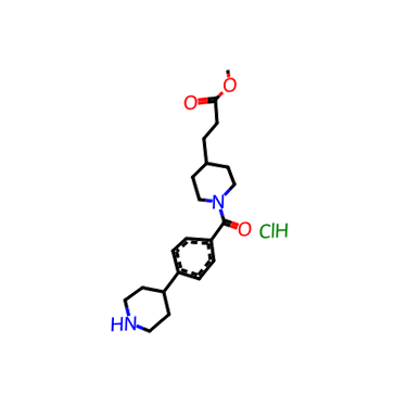 COC(=O)CCC1CCN(C(=O)c2ccc(C3CCNCC3)cc2)CC1.Cl